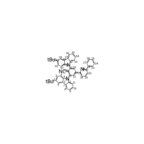 CC(C)(C)c1ccc2c(c1)c1ccccc1n2-c1cc(-c2cccc(-c3ccccc3)n2)cc(-n2c3ccccc3c3cc(C(C)(C)C)ccc32)c1C#N